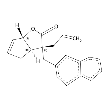 C=CC[C@]1(Cc2ccc3ccccc3c2)C(=O)O[C@H]2C=CC[C@@H]21